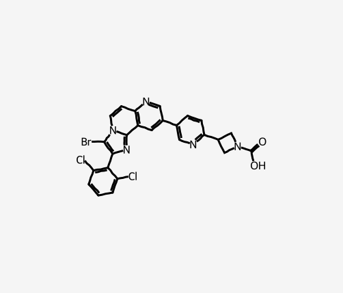 O=C(O)N1CC(c2ccc(-c3cnc4ccn5c(Br)c(-c6c(Cl)cccc6Cl)nc5c4c3)cn2)C1